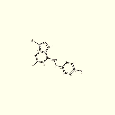 Cc1cn2c(Br)cnc2c(NCc2ccc(S)cc2)n1